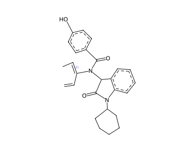 C=C/C(=C\C)N(C(=O)c1ccc(O)cc1)C1C(=O)N(C2CCCCC2)c2ccccc21